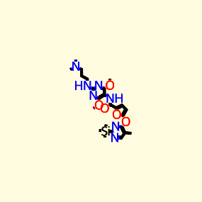 COc1nc(NCCCN(C)C)nc(OC)c1NC(=O)c1ccc(Oc2nc([Si](C)(C)C)ncc2C)o1